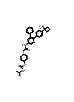 CC(C)NC(=O)O[C@H]1CC[C@H](CC(=O)Nc2cnc(-c3ccc(C4(N)CCC4)cc3)c(-c3ccccc3)c2)CC1